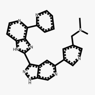 CN(C)Cc1cncc(-c2cc3c(-c4nc5c(-c6ccccn6)nccc5[nH]4)n[nH]c3cn2)c1